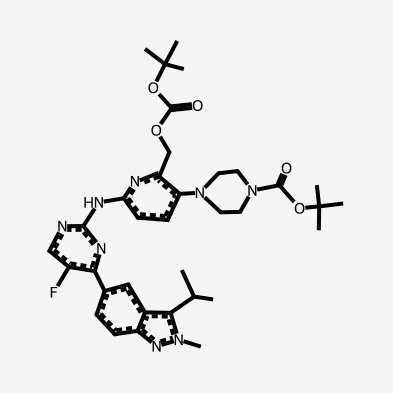 CC(C)c1c2cc(-c3nc(Nc4ccc(N5CCN(C(=O)OC(C)(C)C)CC5)c(COC(=O)OC(C)(C)C)n4)ncc3F)ccc2nn1C